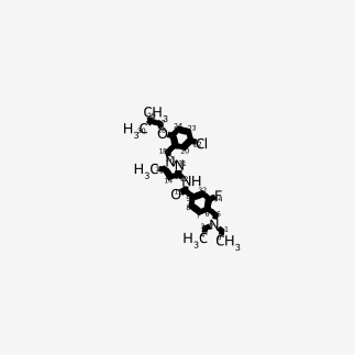 CCN(CC)Cc1ccc(C(=O)Nc2cc(C)n(Cc3cc(Cl)ccc3OCC(C)C)n2)cc1F